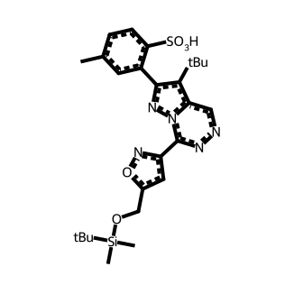 Cc1ccc(S(=O)(=O)O)c(-c2nn3c(-c4cc(CO[Si](C)(C)C(C)(C)C)on4)nncc3c2C(C)(C)C)c1